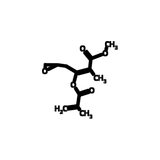 C=C(C)C(=O)OC(CC1CO1)=C(C)C(=O)OC